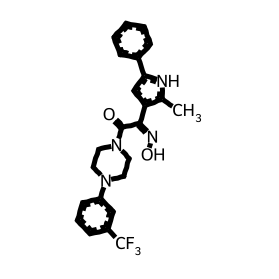 Cc1[nH]c(-c2ccccc2)cc1C(=NO)C(=O)N1CCN(c2cccc(C(F)(F)F)c2)CC1